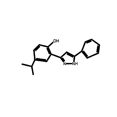 CC(C)c1ccc(O)c(-c2cc(-c3ccccc3)[nH]n2)c1